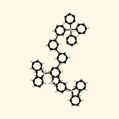 c1ccc([Si](c2ccccc2)(c2ccccc2)c2cccc(-c3cccc(-c4cccc(-c5cc(-n6c7ccccc7c7ccccc76)c6oc7ccc(-n8c9ccccc9c9ccccc98)cc7c6c5)c4)c3)c2)cc1